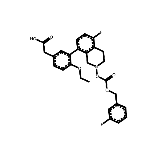 CCOc1ccc(CC(=O)O)cc1-c1ccc(F)c2c1CN(OC(=O)OCc1cccc(F)c1)CC2